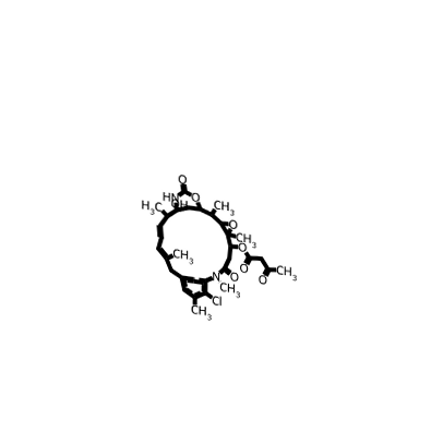 CC(=O)CC(=O)OC1CC(=O)N(C)c2cc(cc(C)c2Cl)C/C(C)=C/C=C/C(C)C2(O)CC(OC(=O)N2)C(C)C2OC12C